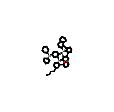 CCCCc1ccc(N2c3cc(N(c4ccccc4)c4ccccc4)ccc3B3c4c(cc(C)cc42)-c2cccc4c5c6ccccc6ccc5n3c24)c(-c2ccccc2)c1